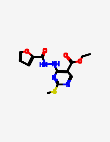 CCOC(=O)c1cnc(SC)nc1NNC(=O)c1ccco1